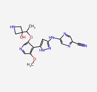 COc1cncc(OC(C)C2(O)CNC2)c1-c1cc(Nc2cnc(C#N)cn2)n[nH]1